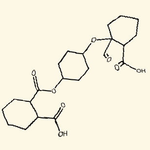 O=CC1(OC2CCC(OC(=O)C3CCCCC3C(=O)O)CC2)CCCCC1C(=O)O